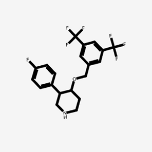 Fc1ccc(C2CNCCC2OCc2cc(C(F)(F)F)cc(C(F)(F)F)c2)cc1